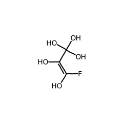 OC(F)=C(O)C(O)(O)O